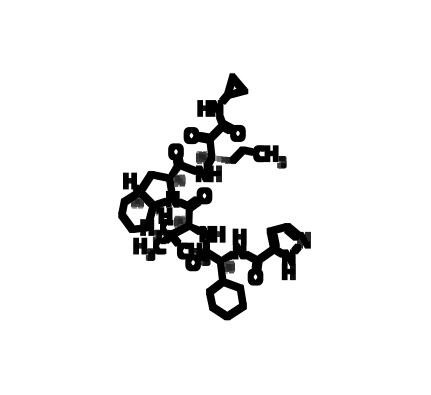 CCC[C@H](NC(=O)[C@@H]1C[C@@H]2CCCC[C@@H]2N1C(=O)[C@@H](NC(=O)[C@@H](NC(=O)c1ccn[nH]1)C1CCCCC1)C(C)(C)C)C(=O)C(=O)NC1CC1